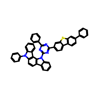 c1ccc(-c2ccc3c(c2)sc2cc(-c4nc(-c5ccccc5)nc(-n5c6ccccc6c6ccc7c(c8ccccc8n7-c7ccccc7)c65)n4)ccc23)cc1